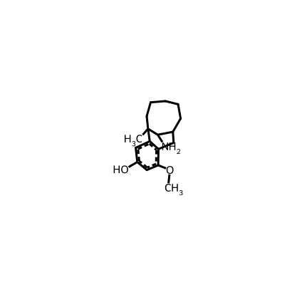 COc1cc(O)cc2c1CC1CCCCCC2(C)C1N